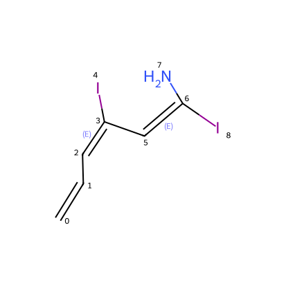 C=C/C=C(I)\C=C(/N)I